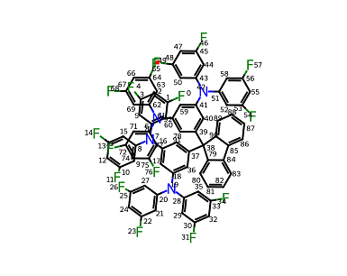 Fc1cc(F)cc(N(c2cc(F)cc(F)c2)c2cc(N(c3cc(F)cc(F)c3)c3cc(F)cc(F)c3)cc(C3(c4cc(N(c5cc(F)cc(F)c5)c5cc(F)cc(F)c5)cc(N(c5cc(F)cc(F)c5)c5cc(F)cc(F)c5)c4)c4ccccc4-c4ccccc43)c2)c1